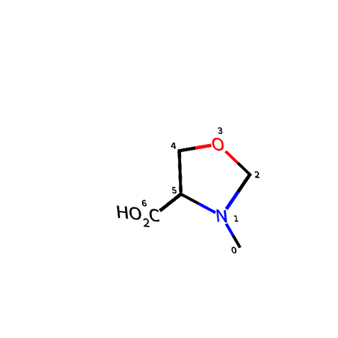 CN1COCC1C(=O)O